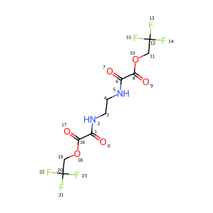 O=C(NCCNC(=O)C(=O)OCC(F)(F)F)C(=O)OCC(F)(F)F